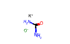 NC(N)=O.[Cl-].[K+]